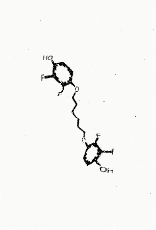 Oc1ccc(OCCCCCCOc2ccc(O)c(F)c2F)c(F)c1F